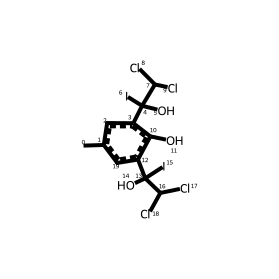 Cc1cc(C(O)(I)C(Cl)Cl)c(O)c(C(O)(I)C(Cl)Cl)c1